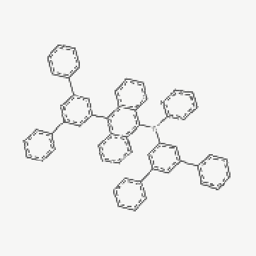 c1ccc(-c2cc(-c3ccccc3)cc(-c3c4ccccc4c(N(c4cc(-c5ccccc5)cc(-c5ccccc5)c4)c4ccccn4)c4ccccc34)c2)cc1